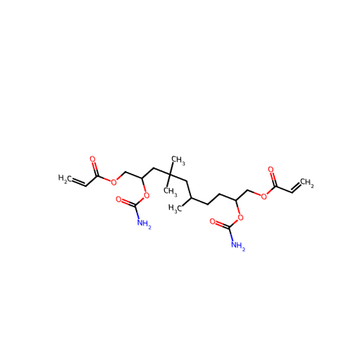 C=CC(=O)OCC(CCC(C)CC(C)(C)CC(COC(=O)C=C)OC(N)=O)OC(N)=O